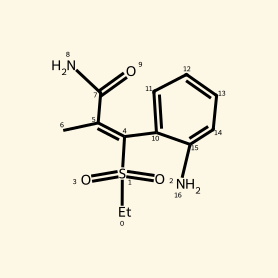 CCS(=O)(=O)C(=C(C)C(N)=O)c1ccccc1N